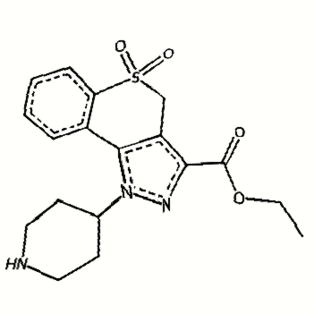 CCOC(=O)c1nn(C2CCNCC2)c2c1CS(=O)(=O)c1ccccc1-2